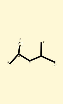 CC(C)[CH]C(C)Cl